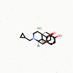 COC12CCC(=O)C[C@@]13CCN(CC1CC1)[C@@H]2Cc1ccc(O)cc13.Cl